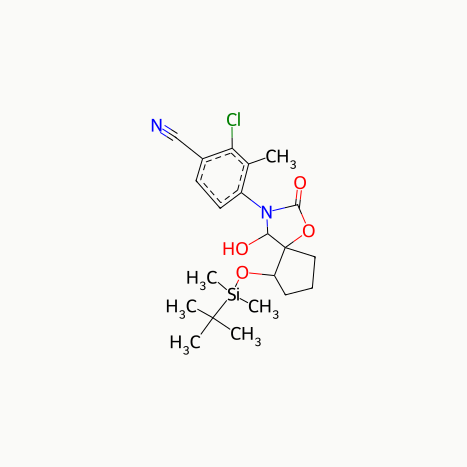 Cc1c(N2C(=O)OC3(CCCC3O[Si](C)(C)C(C)(C)C)C2O)ccc(C#N)c1Cl